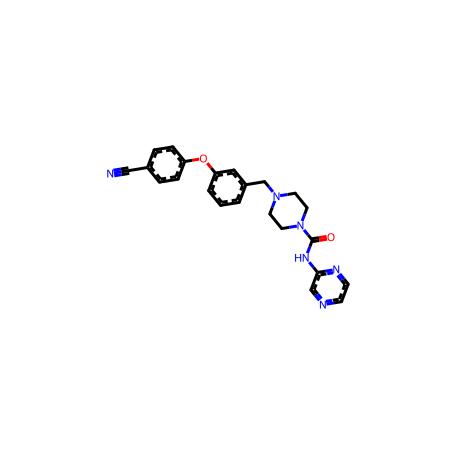 N#Cc1ccc(Oc2cccc(CN3CCN(C(=O)Nc4cnccn4)CC3)c2)cc1